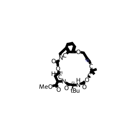 COC(=O)C1C[C@@H]2CN1C(=O)[C@H](C(C)(C)C)NC(=O)OCC(C)(C)C/C=C/COc1cccc3c1CN(C3)C(=O)O2